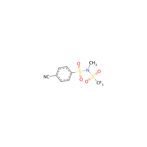 CN(S(=O)(=O)c1ccc(C#N)cc1)S(=O)(=O)C(F)(F)F